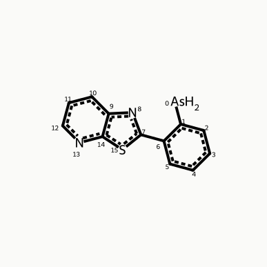 [AsH2]c1ccccc1-c1nc2cccnc2s1